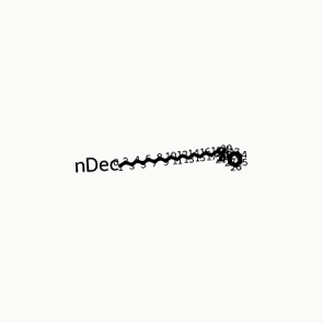 CCCCCCCCCCCCCCCCCCCCCCCCCCC[CH][Si](C)(C)c1ccccc1